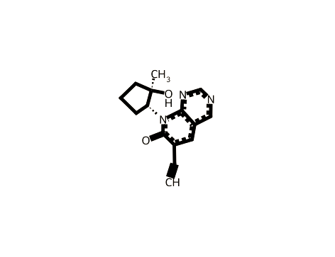 C#Cc1cc2cncnc2n([C@@H]2CCC[C@@]2(C)O)c1=O